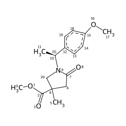 COC(=O)C1(C)CC(=O)N([C@@H](C)c2ccc(OC)cc2)C1